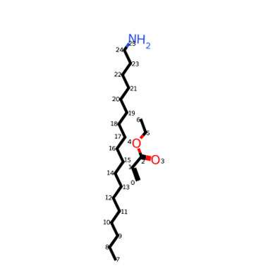 C=CC(=O)OCC.CCCCCCCCCCCCCCCCCCN